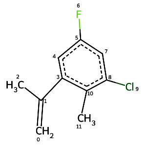 C=C(C)c1cc(F)cc(Cl)c1C